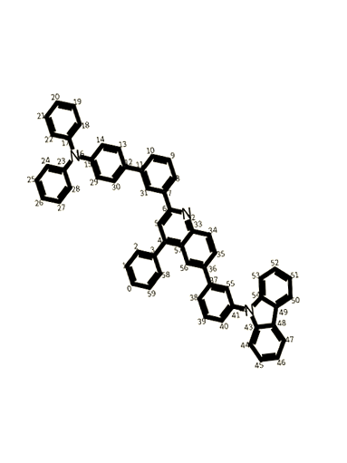 c1ccc(-c2cc(-c3cccc(-c4ccc(N(c5ccccc5)c5ccccc5)cc4)c3)nc3ccc(-c4cccc(-n5c6ccccc6c6ccccc65)c4)cc23)cc1